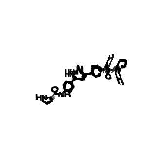 O=C(Nc1ccc(-c2cc(-c3ccc(NC(=O)[C@@H]4C=CCN4)cc3)[nH]n2)cc1)[C@@H]1C=CCN1